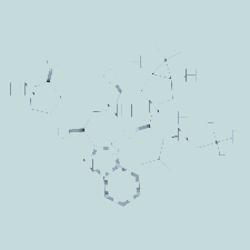 CC(C)[C@H](N[C@@H](C)C(F)(F)F)C(=O)N1C[C@H]2[C@@H]([C@H]1C(=O)N[C@@H](C[C@@H]1CCNC1=O)C(=O)c1nc3ccccc3s1)C2(C)C